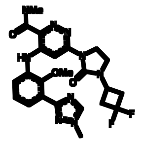 CNC(=O)c1nnc(N2CCN(C3CC(F)(F)C3)C2=O)cc1Nc1cccc(-c2ncn(C)n2)c1OC